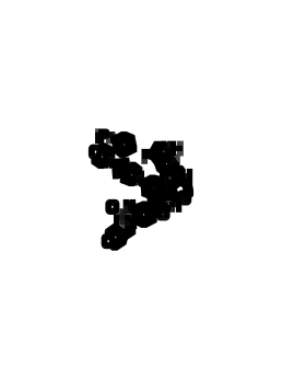 CC(C)c1ccccc1[C@@H]1COCCN1C1CC2(CCN(c3ccc(C(=O)NS(=O)(=O)c4ccc(NCC5CCOCC5)c([N+](=O)[O-])c4)c(N4c5cc6c(F)c[nH]c6nc5O[C@@H]5CCOCC[C@H]54)c3)CC2)C1